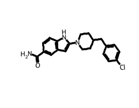 NC(=O)c1ccc2[nH]c(N3CCC(Cc4ccc(Cl)cc4)CC3)cc2c1